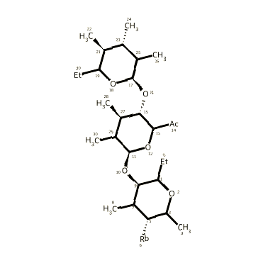 CCC1OC(C)[C@H]([Rb])C(C)[C@H]1O[C@@H]1OC(C(C)=O)[C@@H](O[C@H]2OC(CC)[C@@H](C)[C@H](C)C2C)[C@H](C)C1C